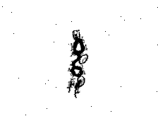 O=C(Cc1ccc(OC(F)F)cc1)c1ccc(Cl)cc1